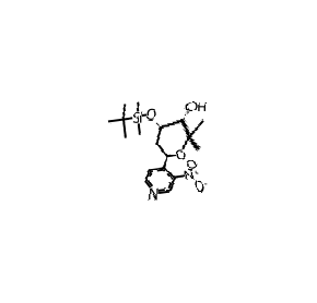 CC1(C)O[C@@H](c2ccncc2[N+](=O)[O-])C[C@H](O[Si](C)(C)C(C)(C)C)[C@@H]1O